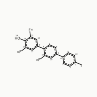 Cc1ccc(-c2ccc(-c3cc(F)c(O)c(F)c3)c(F)c2)cc1